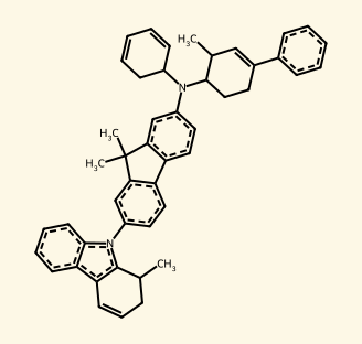 CC1CC=Cc2c1n(-c1ccc3c(c1)C(C)(C)c1cc(N(C4C=CC=CC4)C4CCC(c5ccccc5)=CC4C)ccc1-3)c1ccccc21